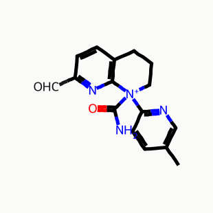 Cc1ccc([N+]2(C(N)=O)CCCc3ccc(C=O)nc32)nc1